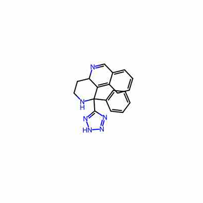 C1=CCC2=C3C(CCNC3(c3ccccc3)c3nn[nH]n3)N=CC2=C1